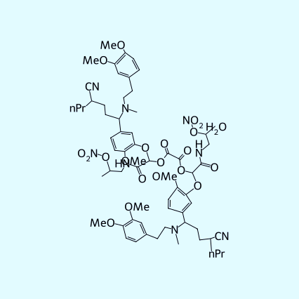 CCCC(C#N)CCC(c1ccc(OC)c(OC(OC(=O)C(=O)OC(Oc2cc(C(CCC(C#N)CCC)N(C)CCc3ccc(OC)c(OC)c3)ccc2OC)C(=O)NCC(C)O[N+](=O)[O-])C(=O)NCC(C)O[N+](=O)[O-])c1)N(C)CCc1ccc(OC)c(OC)c1.O